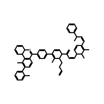 C=CCCC1C(C)=C(c2ccc(C3=NC4C=CC=CC4c4c3ccc(-c3ccccc3C)c4C)cc2)C=CC1C(=C)/C=C\C1C=CC(/C=C\C(C)c2ccccc2)=C(C)C1C